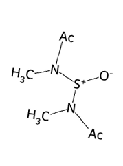 CC(=O)N(C)[S+]([O-])N(C)C(C)=O